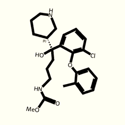 COC(=O)NCCCC(O)(c1cccc(Cl)c1Oc1ccccc1C)[C@@H]1CCCNC1